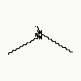 [CH2]CCc1nc(CCCCCCCCCCCCCCCCC)nc(CCCCCCCCCCCCCCCCC)n1